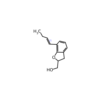 CC/C=C/c1cccc2c1OC(CO)C2